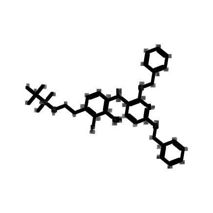 CC(C)(C)[Si](C)(C)OCCc1ccc(Nc2ccc(OCc3ccccc3)nc2OCc2ccccc2)c(O)c1F